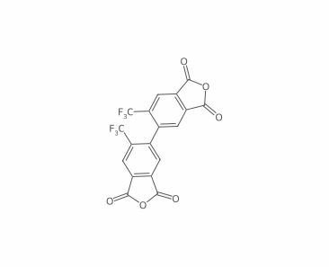 O=C1OC(=O)c2cc(C(F)(F)F)c(-c3cc4c(cc3C(F)(F)F)C(=O)OC4=O)cc21